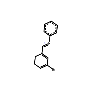 BrC1=CCCC(/C=N/c2ccccc2)=C1